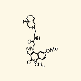 COc1ccc2c(c1)c1c(cnn1CC(=O)NCCN1CC[C@@H]3CCCCC3C1)c(=O)n2C